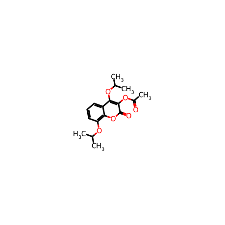 CC(=O)Oc1c(OC(C)C)c2cccc(OC(C)C)c2oc1=O